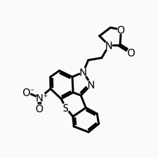 O=C1OCCN1CCn1nc2c3c(c([N+](=O)[O-])ccc31)Sc1ccccc1-2